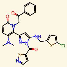 CN(C)c1ccc(=O)n(CC(=O)c2ccccc2)c1-c1cc(NCc2ccc(Cl)s2)n(C(=O)c2ccns2)n1